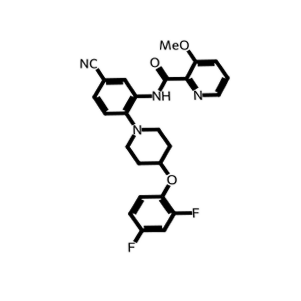 COc1cccnc1C(=O)Nc1cc(C#N)ccc1N1CCC(Oc2ccc(F)cc2F)CC1